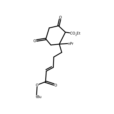 CCCC1(CC/C=C/C(=O)OC(C)(C)C)CC(=O)CC(=O)C1C(=O)OCC